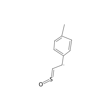 Cc1ccc([CH]C=S=O)cc1